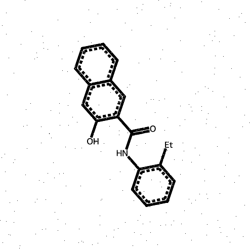 CCc1ccccc1NC(=O)c1cc2ccccc2cc1O